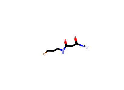 NC(=O)CC(=O)NCCCS